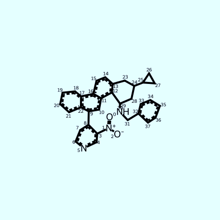 O=[N+]([O-])c1cnccc1-c1cc2c3c(ccc2c2ccccc12)CC(C1CC1)CC3NCc1ccccc1